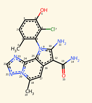 Cc1ccc(O)c(Cl)c1-n1c(N)c(C(N)=O)c2cc(C)n3ncnc3c21